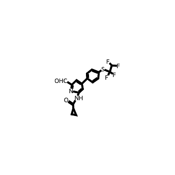 O=Cc1cc(-c2ccc(SC(F)(F)C(F)F)cc2)cc(NC(=O)C2CC2)n1